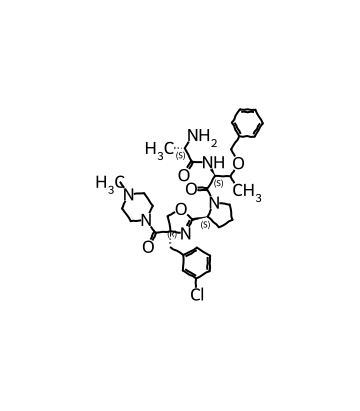 CC(OCc1ccccc1)[C@H](NC(=O)[C@H](C)N)C(=O)N1CCC[C@H]1C1=N[C@@](Cc2cccc(Cl)c2)(C(=O)N2CCN(C)CC2)CO1